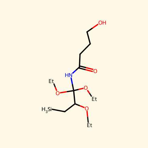 CCOC(C[SiH3])C(NC(=O)CCCO)(OCC)OCC